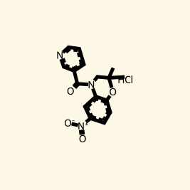 CC1(C)CN(C(=O)c2cccnc2)c2cc([N+](=O)[O-])ccc2O1.Cl